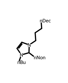 CCCCCCCCCCCCCN1C=CN(CCCC)C1CCCCCCCCC